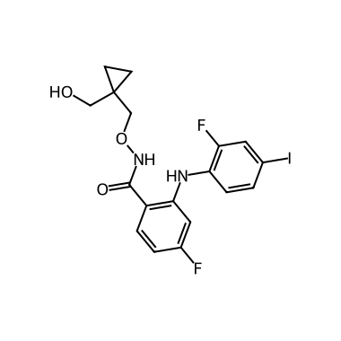 O=C(NOCC1(CO)CC1)c1ccc(F)cc1Nc1ccc(I)cc1F